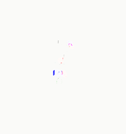 Cc1cc(CCCCCOc2c(F)cc(C(=O)NCCCl)cc2F)on1